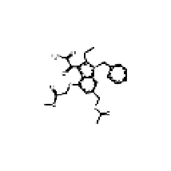 CCc1c(C(=O)C(N)=O)c2c(OCC(=O)OC)cc(COC(C)=O)cc2n1Cc1ccccc1